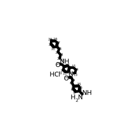 Cl.N=C(N)c1ccc(CCC(=O)N2CCCc3cc(C(=O)NCCCCc4ccccc4)ccc32)cc1